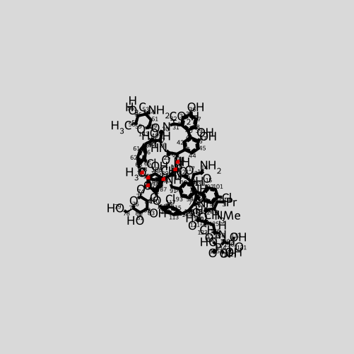 CN[C@H](CC(C)C)C(=O)N[C@H]1C(=O)N[C@@H](CC(N)=O)C(=O)N[C@H]2C(=O)N[C@H]3C(=O)N[C@H](C(=O)N[C@H](C(=O)O)c4cc(O)cc(O)c4-c4cc3ccc4O)[C@H](O[C@H]3C[C@](C)(N)[C@@H](O)[C@H](C)O3)c3ccc(c(Cl)c3)Oc3cc2cc(c3O[C@@H]2O[C@H](CO)[C@@H](O)[C@H](O)[C@H]2O[C@H]2C[C@](C)(NCc3ccc(-c4ccc(Cl)cc4)cc3)[C@@H](O)[C@H](C)O2)Oc2ccc(cc2Cl)[C@H]1OC(=O)C(C)(C)CC(=O)NC(P(=O)(O)O)P(=O)(O)O